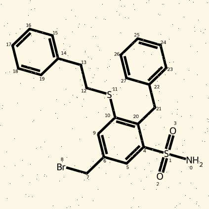 NS(=O)(=O)c1cc(CBr)cc(SCCc2ccccc2)c1Cc1ccccc1